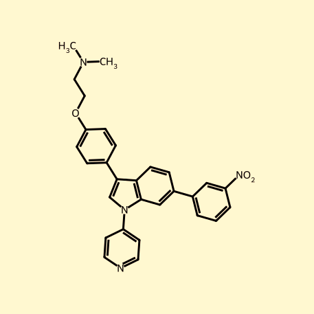 CN(C)CCOc1ccc(-c2cn(-c3ccncc3)c3cc(-c4cccc([N+](=O)[O-])c4)ccc23)cc1